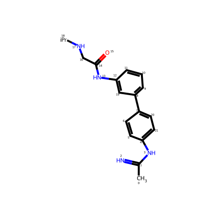 CC(=N)Nc1ccc(-c2cccc(NC(=O)CNC(C)C)c2)cc1